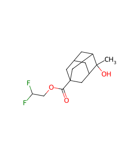 CC1(O)C2CC3CC1CC(C(=O)OCC(F)F)(C3)C2